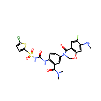 CNc1cc2c(cc1F)C(=O)N(c1ccc(NC(=O)NS(=O)(=O)c3ccc(Cl)s3)c(C(=O)N(C)C)c1)CO2